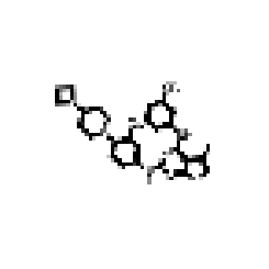 COc1cc(Nc2nc(Nc3cccc(C(F)(F)F)c3)c3c(C)csc3n2)ccc1N1CCC(N2CCC2)CC1